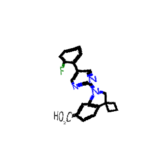 O=C(O)c1ccc2c(c1)N(c1ncc(-c3ccccc3F)cn1)CC21CCC1